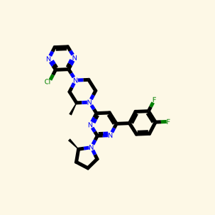 C[C@@H]1CCCN1c1nc(-c2ccc(F)c(F)c2)cc(N2CCN(c3nccnc3Cl)C[C@@H]2C)n1